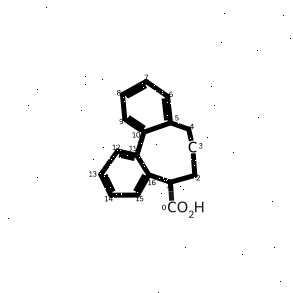 O=C(O)C1CCCc2ccccc2-c2ccccc21